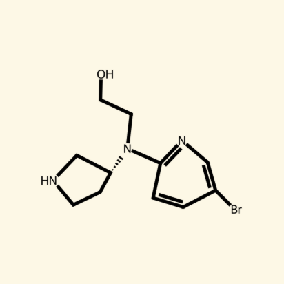 OCCN(c1ccc(Br)cn1)[C@@H]1CCNC1